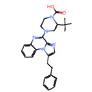 CC(C)(C)C1CN(c2nc3ccccc3n3c(CCc4ccccc4)cnc23)CCN1C(=O)O